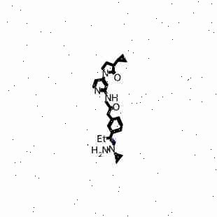 CC/C(=C\N(N)C1CC1)c1cccc(CC(=O)CNc2cc(N3CCC(C4CC4)C3=O)ccn2)c1